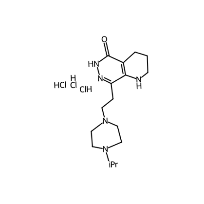 CC(C)N1CCN(CCc2n[nH]c(=O)c3c2NCCC3)CC1.Cl.Cl.Cl